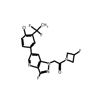 CC(F)(F)c1cc(-c2cnc3c(F)nn(CC(=O)N4CC(F)C4)c3c2)ccc1Cl